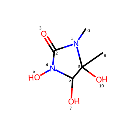 CN1C(=O)N(O)C(O)C1(C)O